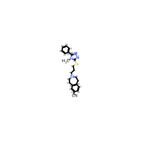 Cn1c(SCCCN2CCc3ccc(C#N)cc3CC2)nnc1-c1ccccc1